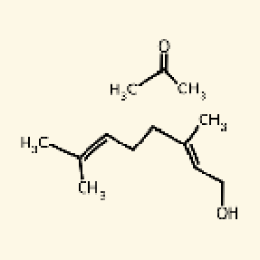 CC(C)=CCCC(C)=CCO.CC(C)=O